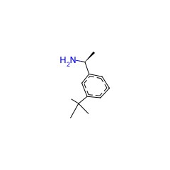 C[C@H](N)c1cccc(C(C)(C)C)c1